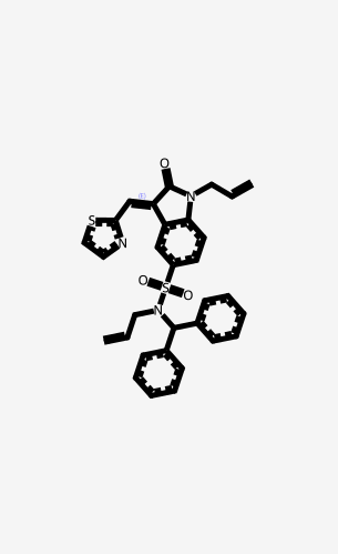 C=CCN1C(=O)/C(=C/c2nccs2)c2cc(S(=O)(=O)N(CC=C)C(c3ccccc3)c3ccccc3)ccc21